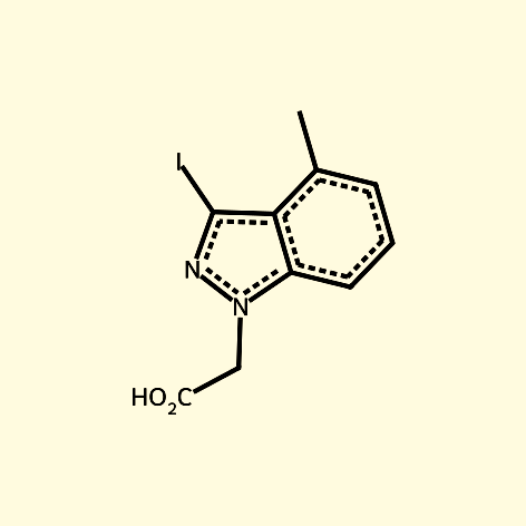 Cc1cccc2c1c(I)nn2CC(=O)O